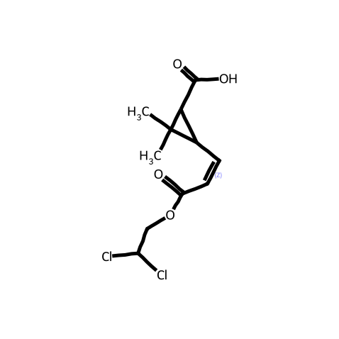 CC1(C)C(/C=C\C(=O)OCC(Cl)Cl)C1C(=O)O